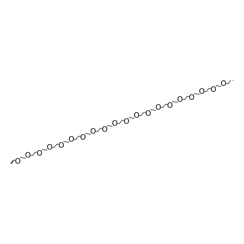 [CH2]COCCOCCOCCOCCOCCOCCOCCOCCOCCOCCOCCOCCOCCOCCOCCOCCOCCOCCOCCOC=C